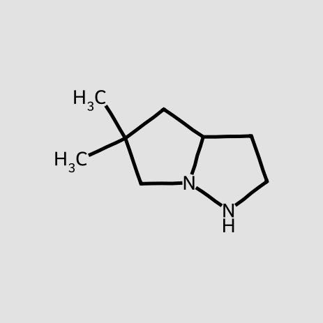 CC1(C)CC2CCNN2C1